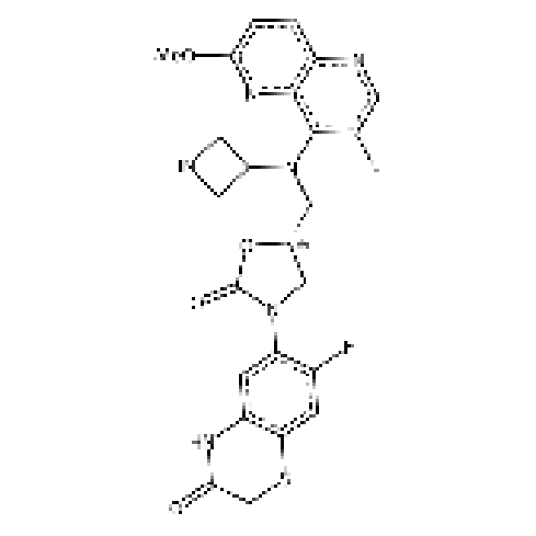 COc1ccc2ncc(F)c(N(C[C@@H]3CN(c4cc5c(cc4F)SCC(=O)N5)C(=O)O3)C3CNC3)c2n1